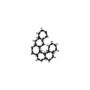 c1ccc2cc3c(ccc4ccc5ccc6ccccc6c5c43)cc2c1